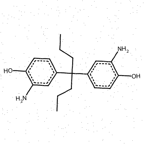 CCCC(CCC)(c1ccc(O)c(N)c1)c1ccc(O)c(N)c1